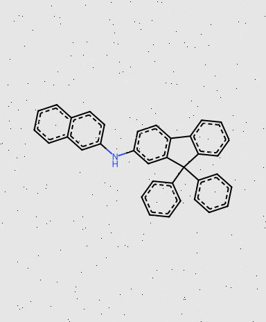 c1ccc(C2(c3ccccc3)c3ccccc3-c3ccc(Nc4ccc5ccccc5c4)cc32)cc1